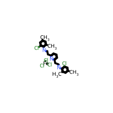 Cc1cc(C)c(N=CCc2cccc(CC=Nc3c(C)cc(C)cc3Cl)n2)c(Cl)c1.[Cl][Fe]([Cl])[Cl]